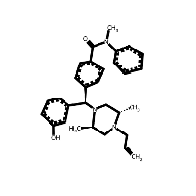 C=CCN1C[C@@H](C)N([C@H](c2ccc(C(=O)N(C)c3ccccc3)cc2)c2cccc(O)c2)C[C@@H]1C